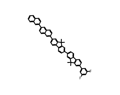 CC1(C)c2cc(-c3cc(F)cc(F)c3)ccc2-c2ccc(-c3ccc4c(c3)C(C)(C)c3cc(-c5ccc6cc(-c7ccc8ccccc8c7)ccc6c5)ccc3-4)cc21